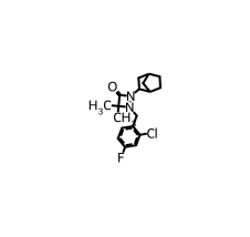 CC1(C)C(=O)N(C2CC3CCC2C3)N1Cc1ccc(F)cc1Cl